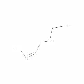 CCCCNC/C=N\C